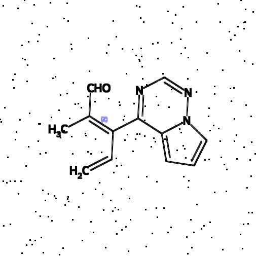 C=C/C(=C(\C)C=O)c1ncnn2cccc12